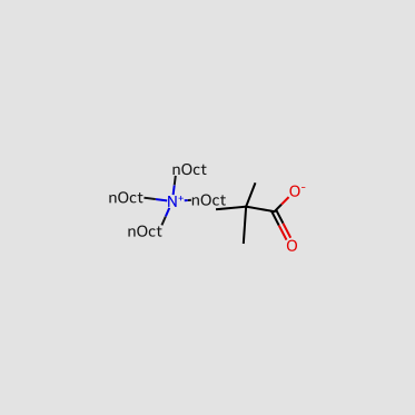 CC(C)(C)C(=O)[O-].CCCCCCCC[N+](CCCCCCCC)(CCCCCCCC)CCCCCCCC